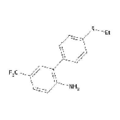 CCSc1ccc(-c2cc(C(F)(F)F)ccc2N)cc1